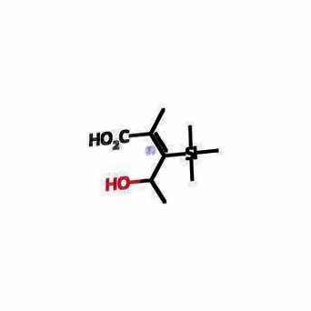 C/C(C(=O)O)=C(/C(C)O)[Si](C)(C)C